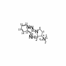 C[N+](C)(C)C1CCN(c2nn3ccccc3c2N)C1